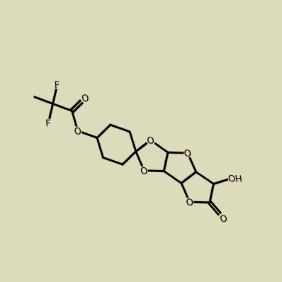 CC(F)(F)C(=O)OC1CCC2(CC1)OC1OC3C(O)C(=O)OC3C1O2